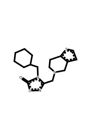 O=c1onc(CN2CCc3sccc3C2)n1CC1CCCCC1